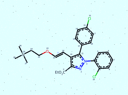 CCOC(=O)c1nn(-c2ccccc2Cl)c(-c2ccc(Cl)cc2)c1/C=C/OCC[Si](C)(C)C